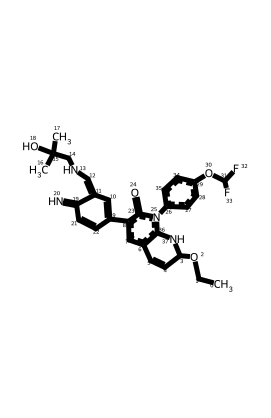 CCOC1C=Cc2cc(C3=C/C(=C/NCC(C)(C)O)C(=N)C=C3)c(=O)n(-c3ccc(OC(F)F)cc3)c2N1